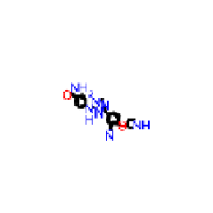 N#Cc1cc(-c2ncnc(Nc3ccc(C(N)=O)cc3)n2)ccc1OC1CCNC1